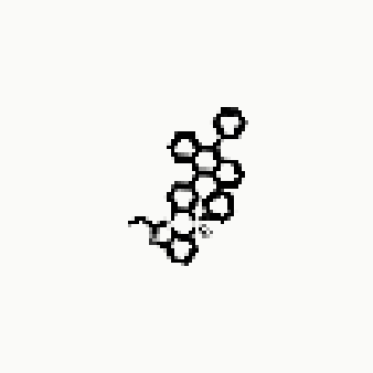 CCc1nc2cccc3c2n1-c1ccc(-c2c4ccccc4c(-c4ccccc4)c4ccccc24)cc1P3(=O)c1ccccc1